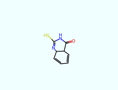 O=C1NC(S)=NC2C=CC=CC12